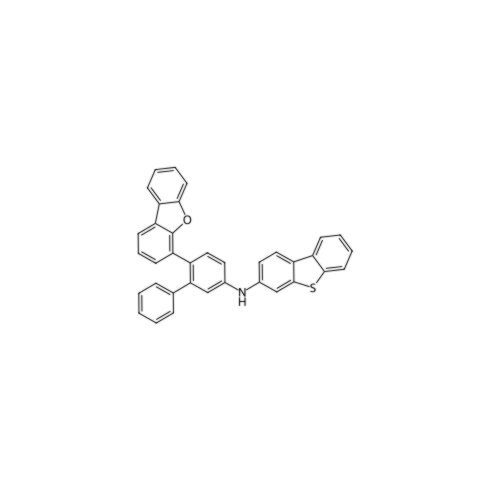 c1ccc(-c2cc(Nc3ccc4c(c3)sc3ccccc34)ccc2-c2cccc3c2oc2ccccc23)cc1